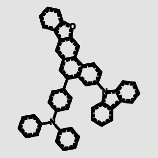 c1ccc(N(c2ccccc2)c2ccc(-c3cc4cc5c(cc4c4ccc(-n6c7ccccc7c7ccccc76)cc34)oc3ccccc35)cc2)cc1